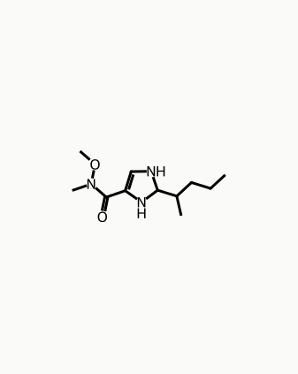 CCCC(C)C1NC=C(C(=O)N(C)OC)N1